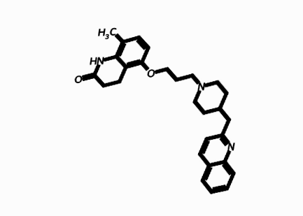 Cc1ccc(OCCCN2CCC(Cc3ccc4ccccc4n3)CC2)c2c1NC(=O)CC2